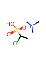 CC(Cl)S(=O)(=O)O.CN(C)C